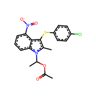 CC(=O)OC(C)n1c(C)c(Sc2ccc(Cl)cc2)c2c([N+](=O)[O-])cccc21